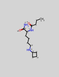 CCCC(=O)NC(CCCCNC1CCC1)C(N)=O